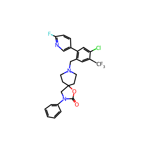 O=C1OC2(CCN(Cc3cc(C(F)(F)F)c(Cl)cc3-c3ccc(F)nc3)CC2)CN1c1ccccc1